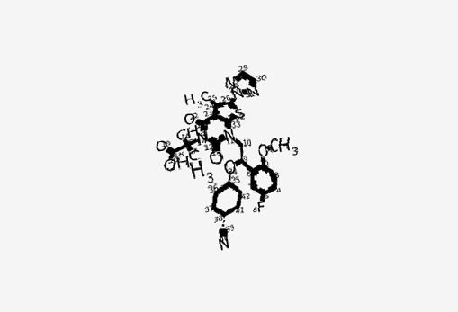 COc1ccc(F)cc1[C@H](Cn1c(=O)n(C(C)(C)C(=O)O)c(=O)c2c(C)c(-n3nccn3)sc21)O[C@H]1CC[C@@H](C#N)CC1